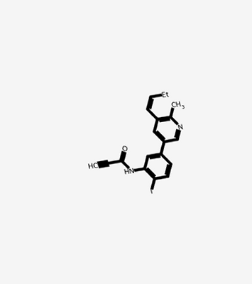 C#CC(=O)Nc1cc(-c2cnc(C)c(/C=C\CC)c2)ccc1I